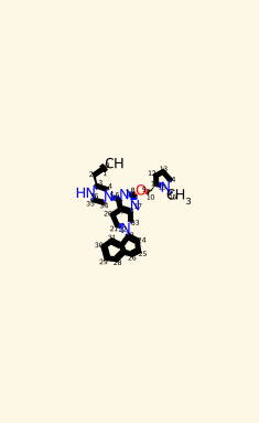 C#CC[C@H]1CN(c2nc(OC[C@@H]3CCCN3C)nc3c2CCN(c2cccc4ccccc24)C3)CCN1